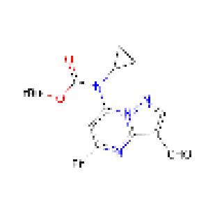 CCc1cc(N(C(=O)OC(C)(C)C)C2CC2)n2ncc(C=O)c2n1